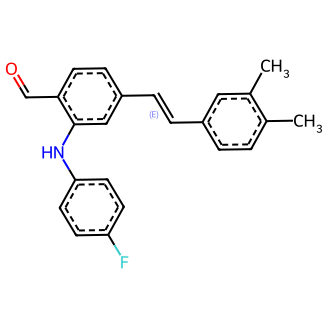 Cc1ccc(/C=C/c2ccc(C=O)c(Nc3ccc(F)cc3)c2)cc1C